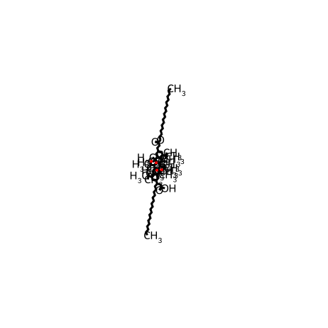 CCCCCCCCCCCCCCCCCCOC(=O)CCc1cc(C(C)(C)C)c(Oc2cc(C(C)(C)C)c(Oc3c(C(C)(C)C)cc(C(CCCCCCCCCCCCCCCCCC)CC(=O)O)cc3C(C)(C)C)cc2C(C)(C)C)c(C(C)(C)C)c1